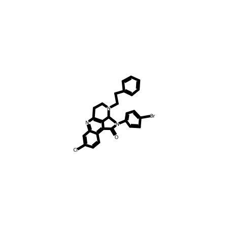 O=C1c2c3c(nc4cc(Cl)ccc24)CCN(CCc2ccccc2)C3N1c1ccc(Br)cc1